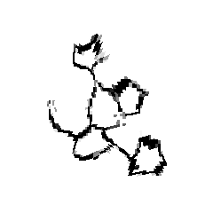 CC(C)(C)c1c(-c2ccccc2)ccc(CP)c1CP(c1ccc[nH]1)c1ccc[nH]1